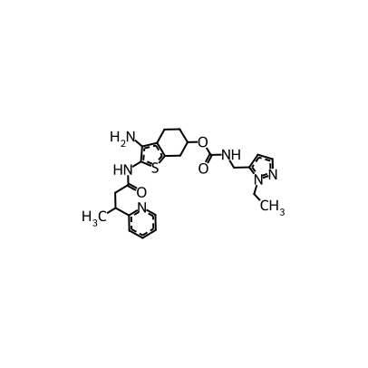 CCn1nccc1CNC(=O)OC1CCc2c(sc(NC(=O)CC(C)c3ccccn3)c2N)C1